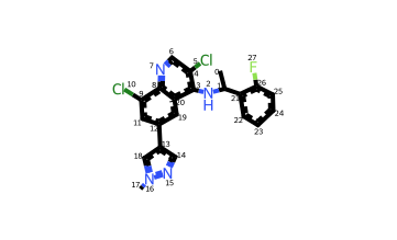 CC(Nc1c(Cl)cnc2c(Cl)cc(-c3cnn(C)c3)cc12)c1ccccc1F